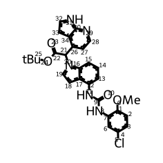 COc1ccc(Cl)cc1NC(=O)Nc1cccc2c1ccn2C(C(=O)OC(C)(C)C)c1ccnc2[nH]ccc12